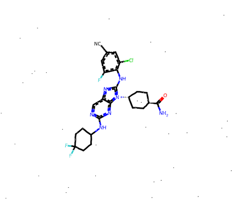 N#Cc1cc(F)c(Nc2nc3cnc(NC4CCC(F)(F)CC4)nc3n2[C@H]2CC[C@H](C(N)=O)CC2)c(Cl)c1